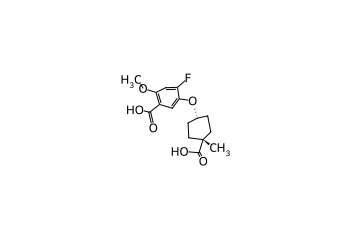 COc1cc(F)c(O[C@H]2CC[C@@](C)(C(=O)O)CC2)cc1C(=O)O